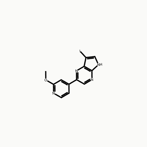 COc1cc(-c2cnc3[nH]cc(I)c3n2)ccn1